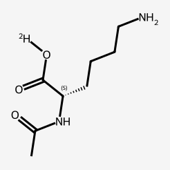 [2H]OC(=O)[C@H](CCCCN)NC(C)=O